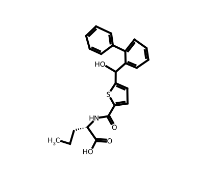 CCC[C@H](NC(=O)c1ccc(C(O)c2ccccc2-c2ccccc2)s1)C(=O)O